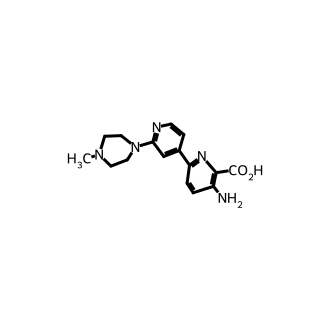 CN1CCN(c2cc(-c3ccc(N)c(C(=O)O)n3)ccn2)CC1